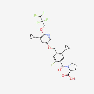 O=C(O)[C@@H]1CCCN1C(=O)c1cc(C2CC2)c(COc2cnc(OCC(F)(F)C(F)F)c(C3CC3)c2)cc1F